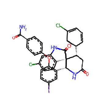 NC(=O)c1ccc(Oc2ccc(I)cc2[C@H]2NC(=O)C[C@@H](C3C=CC=C(Cl)C3)[C@]23C(=O)Nc2cc(Cl)ccc23)cc1